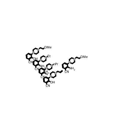 C=CCN1CCN(c2cccc(C#N)c2O)CC1.CCCN1CCN(c2cccc(C#N)c2N)CC1.CCN1CCN(c2cccc(C#N)c2N)CC1.COCCN1CCN(c2cccc(C#N)c2N)CC1.COCCN1CCN(c2cccc(C#N)c2O)CC1